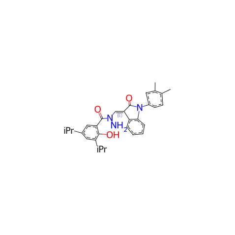 Cc1ccc(N2C(=O)/C(=C/N(N)C(=O)c3cc(C(C)C)cc(C(C)C)c3O)c3ccccc32)cc1C